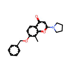 Cc1c(OCc2ccccc2)ccc2c(=O)cc(N3CCCC3)oc12